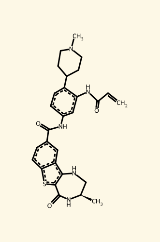 C=CC(=O)Nc1cc(NC(=O)c2ccc3sc4c(c3c2)NC[C@@H](C)NC4=O)ccc1C1CCN(C)CC1